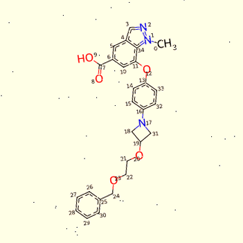 Cn1ncc2cc(C(=O)O)cc(Oc3ccc(N4CC(OCCOCc5ccccc5)C4)cc3)c21